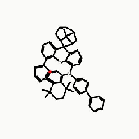 CC1(C)CCC(C)(C)c2c(N(c3ccc(-c4ccccc4)cc3)c3cccc4c3Sc3c(-c5ccccc5)cccc3C43C4CC5CC6CC3C64C5)cccc21